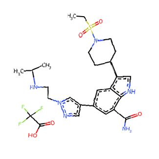 CCS(=O)(=O)N1CCC(c2c[nH]c3c(C(N)=O)cc(-c4cnn(CCNC(C)C)c4)cc23)CC1.O=C(O)C(F)(F)F